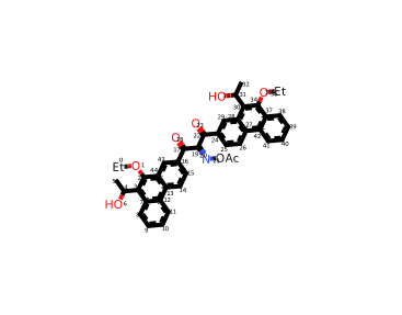 CCOc1c(C(C)O)c2ccccc2c2ccc(C(=O)C(=NOC(C)=O)C(=O)c3ccc4c(c3)c(C(C)O)c(OCC)c3ccccc34)cc12